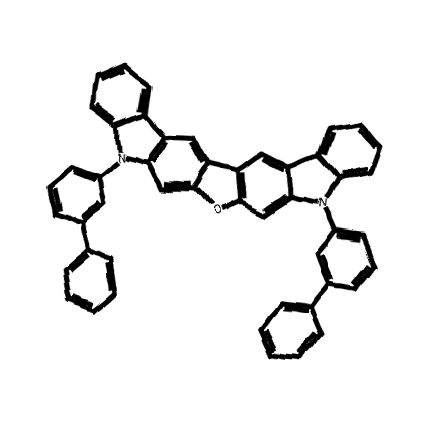 c1ccc(-c2cccc(-n3c4ccccc4c4cc5c(cc43)oc3cc4c(cc35)c3ccccc3n4-c3cccc(-c4ccccc4)c3)c2)cc1